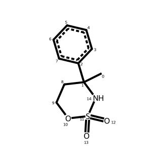 CC1(c2ccccc2)CCOS(=O)(=O)N1